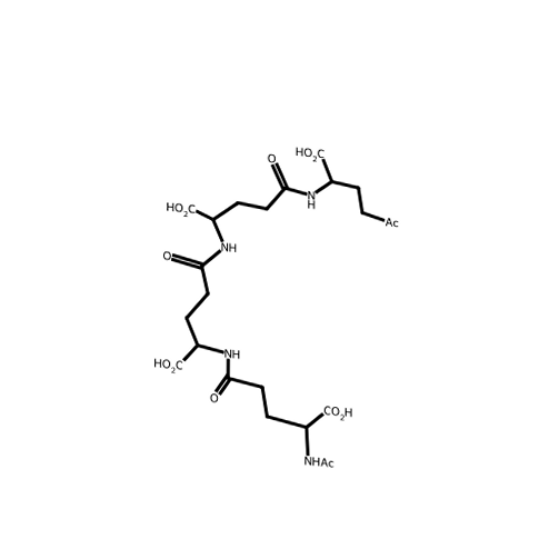 CC(=O)CCC(NC(=O)CCC(NC(=O)CCC(NC(=O)CCC(NC(C)=O)C(=O)O)C(=O)O)C(=O)O)C(=O)O